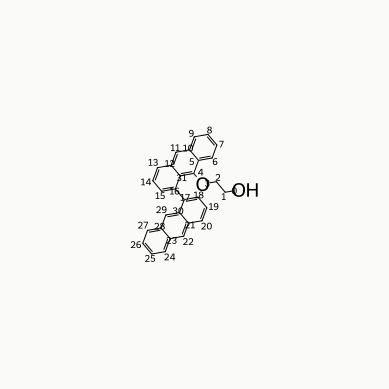 OCCOc1c2ccccc2cc2cccc(-c3cccc4cc5ccccc5cc34)c12